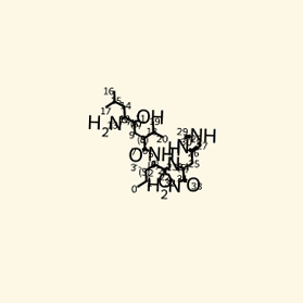 CC[C@H](C)[C@H](NC(=O)[C@@H](C[C@H](O)[C@@H](N)CC(C)C)C(C)C)C(=O)N[C@@H](Cc1c[nH]cn1)C(N)=O